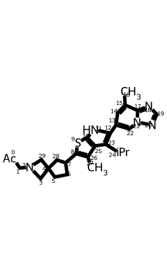 CC(=O)CN1CC2(CCC(c3sc4[nH]c(-c5cc(C)c6ncnn6c5)c(C(C)C)c4c3C)C2)C1